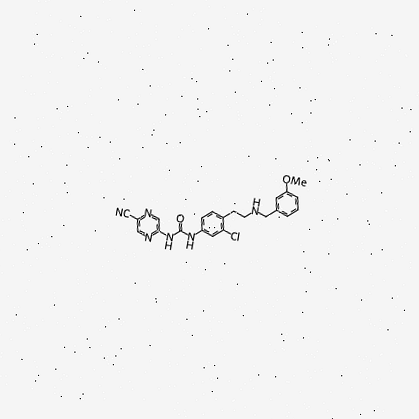 COc1cccc(CNCCc2ccc(NC(=O)Nc3cnc(C#N)cn3)cc2Cl)c1